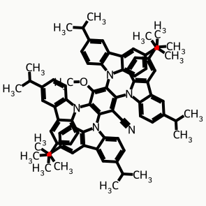 COc1c(-n2c3ccc(C(C)C)cc3c3cc(C(C)C)ccc32)c(-n2c3ccc(C(C)C)cc3c3cc(C(C)C)ccc32)c(C#N)c(-n2c3ccc(C(C)C)cc3c3cc(C(C)C)ccc32)c1-n1c2ccc(C(C)C)cc2c2cc(C(C)C)ccc21